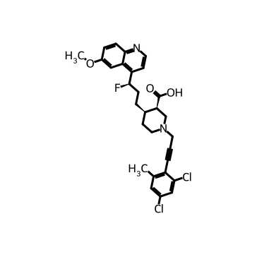 COc1ccc2nccc([C@H](F)CC[C@@H]3CCN(CC#Cc4c(C)cc(Cl)cc4Cl)C[C@@H]3C(=O)O)c2c1